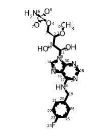 CO[C@H](COS(N)(=O)=O)[C@@H](O)[C@@H](O)n1cnc2c(NCc3ccc(F)cc3)ncnc21